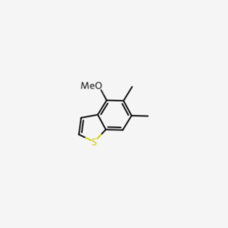 COc1c(C)c(C)cc2sccc12